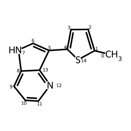 Cc1ccc(-c2c[nH]c3cccnc23)s1